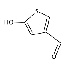 O=[C]c1csc(O)c1